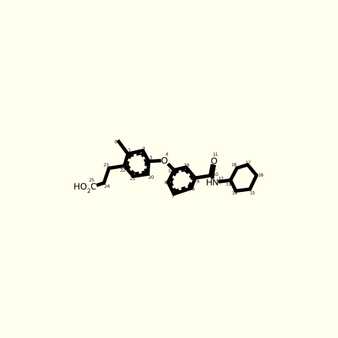 Cc1cc(Oc2cccc(C(=O)NC3CCCCC3)c2)ccc1CCC(=O)O